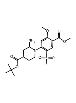 COC(=O)c1cc(S(C)(=O)=O)c(N2CCC(C(=O)OC(C)(C)C)CC2N)cc1OC